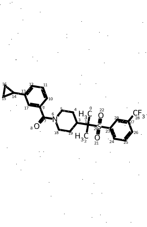 CC(C)(C1CCN(C(=O)c2cccc(C3CC3)c2)CC1)S(=O)(=O)c1cccc(C(F)(F)F)c1